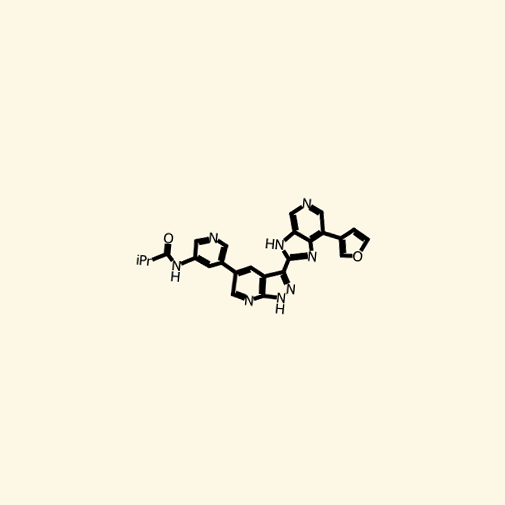 CC(C)C(=O)Nc1cncc(-c2cnc3[nH]nc(-c4nc5c(-c6ccoc6)cncc5[nH]4)c3c2)c1